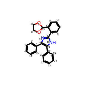 c1ccc(-c2nc(-c3ccccc3C3OCCO3)[nH]c2-c2ccccc2)cc1